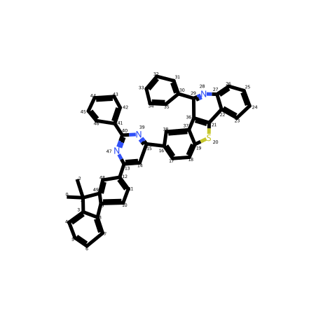 CC1(C)c2ccccc2-c2ccc(-c3cc(-c4ccc5sc6c7ccccc7nc(-c7ccccc7)c6c5c4)nc(-c4ccccc4)n3)cc21